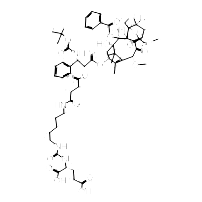 CO[C@H]1C(=O)[C@]2(C)[C@@H](OC)C[C@H]3OC[C@@]3(OC(C)=O)[C@H]2[C@@](C)(OC(=O)c2ccccc2)[C@]2(O)C[C@H](OC(=O)[C@H](OC(=O)CCC(=O)NCCCC[C@@H](C)NC(=O)N[C@@H](CCC(=O)O)C(=O)O)[C@@H](NC(=O)OC(C)(C)C)c3ccccc3)C(C)=C1C2(C)C